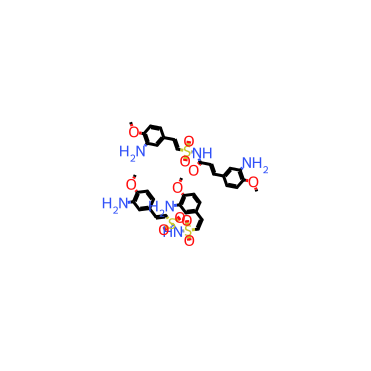 COc1ccc(/C=C/C(=O)NS(=O)(=O)/C=C/c2ccc(OC)c(N)c2)cc1N.COc1ccc(/C=C\S(=O)(=O)NS(=O)(=O)/C=C/c2ccc(OC)c(N)c2)cc1N